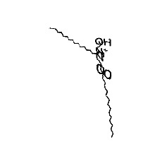 CCCCCCCCCCCCCCCC(=O)OCCN1CC[N+](CCO)=C1CCCCCCCCCCCCCCC